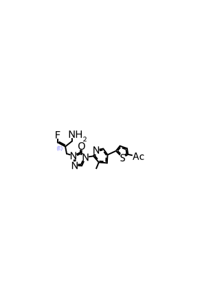 CC(=O)c1ccc(-c2cnc(-n3cnn(C/C(=C/F)CN)c3=O)c(C)c2)s1